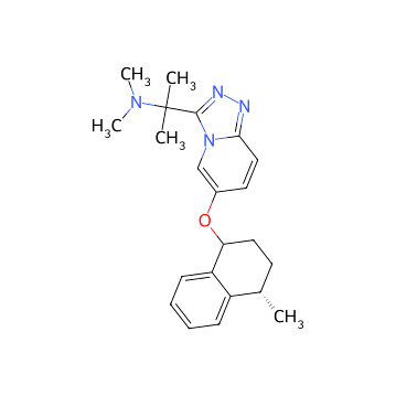 C[C@H]1CCC(Oc2ccc3nnc(C(C)(C)N(C)C)n3c2)c2ccccc21